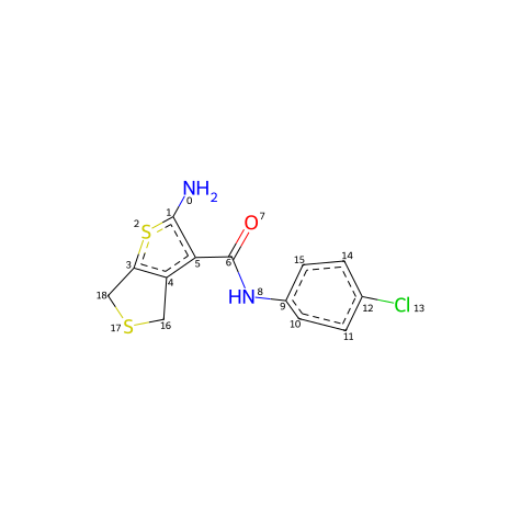 Nc1sc2c(c1C(=O)Nc1ccc(Cl)cc1)CSC2